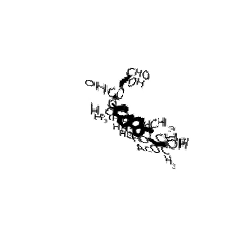 CC(=O)O[C@@H]([C@H]1C[C@@H](C)[C@H]2[C@H](O1)[C@H](O)[C@@]1(C)[C@@H]3CC[C@H]4C(C)(C)[C@@H](O[C@@H](C=O)OC[C@@H](O)C=O)CC[C@@]45C[C@@]35CC[C@]21C)C(C)(C)O